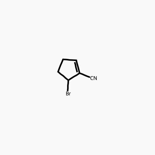 N#CC1=CCCC1Br